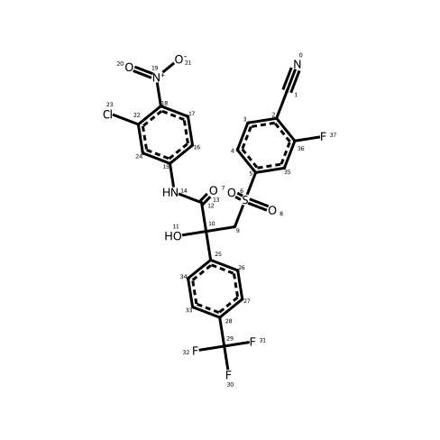 N#Cc1ccc(S(=O)(=O)CC(O)(C(=O)Nc2ccc([N+](=O)[O-])c(Cl)c2)c2ccc(C(F)(F)F)cc2)cc1F